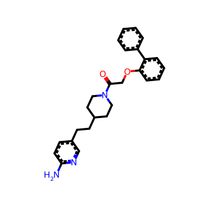 Nc1ccc(CCC2CCN(C(=O)COc3ccccc3-c3ccccc3)CC2)cn1